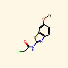 CCOc1ccc2nc(NC(=O)CCl)sc2c1